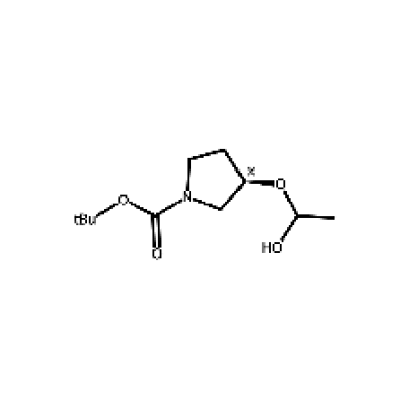 CC(O)O[C@@H]1CCN(C(=O)OC(C)(C)C)C1